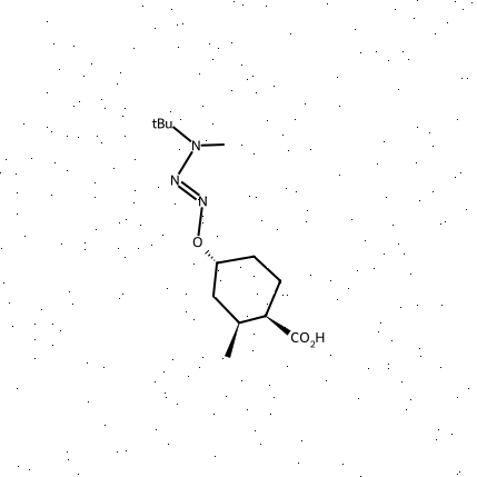 C[C@H]1C[C@H](O/N=N/N(C)C(C)(C)C)CC[C@H]1C(=O)O